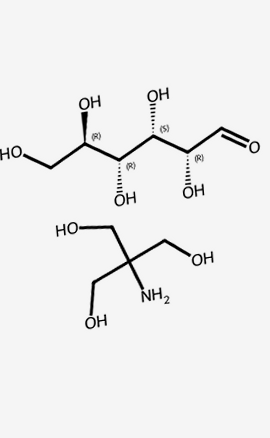 NC(CO)(CO)CO.O=C[C@H](O)[C@@H](O)[C@H](O)[C@H](O)CO